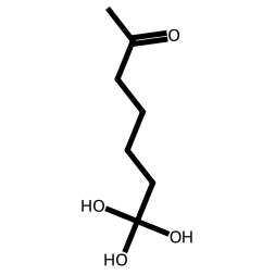 CC(=O)CCCCC(O)(O)O